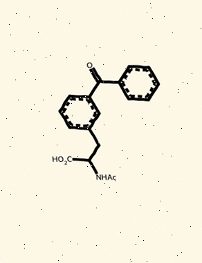 CC(=O)NC(Cc1cccc(C(=O)c2ccccc2)c1)C(=O)O